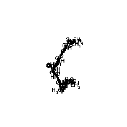 CCC(C)(CC)C1CC(=O)N(CCC(=O)NCCOCCOCCC(=O)NCC(=O)NCC(=O)N[C@@H](CCc2ccccc2)C(=O)NCC(=O)NCCCC(=O)N[C@H]2CCc3c(C)c(F)cc4nc5c(c2c34)Cn2c-5cc3c(c2=O)COC(=O)[C@]3(O)CC)C1=O